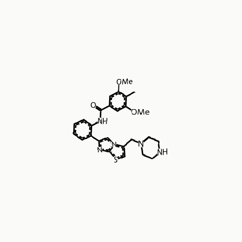 COc1cc(C(=O)Nc2ccccc2-c2cn3c(CN4CCNCC4)csc3n2)cc(OC)c1C